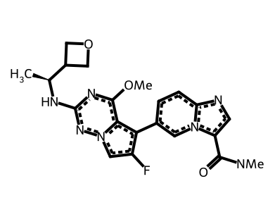 CNC(=O)c1cnc2ccc(-c3c(F)cn4nc(N[C@@H](C)C5COC5)nc(OC)c34)cn12